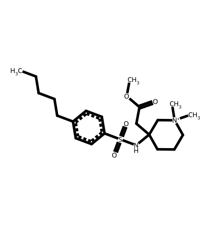 CCCCCc1ccc(S(=O)(=O)NC2(CC(=O)OC)CCC[N+](C)(C)C2)cc1